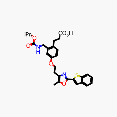 Cc1oc(-c2cc3ccccc3s2)nc1CCOc1ccc(CCC(=O)O)c(CNC(=O)OC(C)C)c1